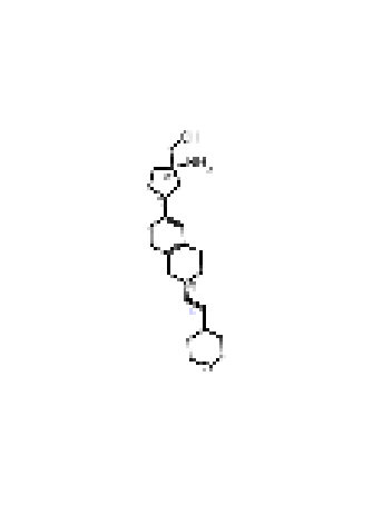 N[C@]1(CO)CC[C@H](c2ccc3c(c2)CC[C@@H](/C=C/C2CCOCC2)C3)C1